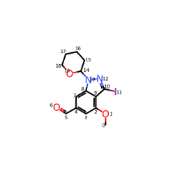 COc1cc(C=O)cc2c1c(I)nn2C1CCCCO1